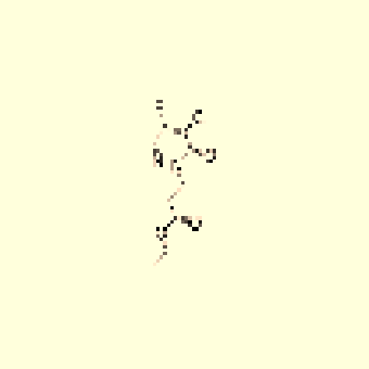 CCOC(=O)CCn1ncc(F)c(Cl)c1=O